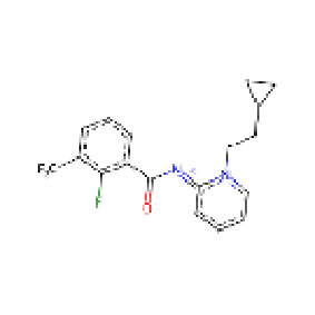 O=C(/N=c1\ccccn1CCC1CC1)c1cccc(C(F)(F)F)c1F